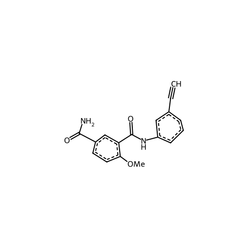 C#Cc1cccc(NC(=O)c2cc(C(N)=O)ccc2OC)c1